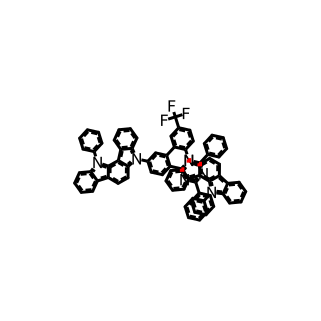 FC(F)(F)c1ccc(-n2c3ccccc3c3c2ccc2c4ccccc4n(-c4ccccc4)c23)c(-c2cc(-n3c4ccccc4c4c3ccc3c5ccccc5n(-c5ccccc5)c34)ccc2-c2nc(-c3ccccc3)nc(-c3ccccc3)n2)c1